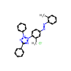 Cc1ccccc1N=Nc1ccc(-n2nc(-c3ccccc3)n[n+]2-c2ccccc2)c(C)c1.[Cl-]